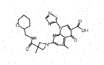 Cc1cc(N2CC(C)(C(=O)NCC3CCCCO3)C2)nc2c1c(=O)c(C(=O)O)cn2-c1ncns1